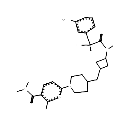 COc1cccc([C@@](O)(C(=O)N(C)C2CC(CC3CCN(c4ccc(C(=O)N(C)C)c(Cl)n4)CC3)C2)C(F)(F)F)c1